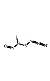 [N-]=[N+]=NSN(I)N=O